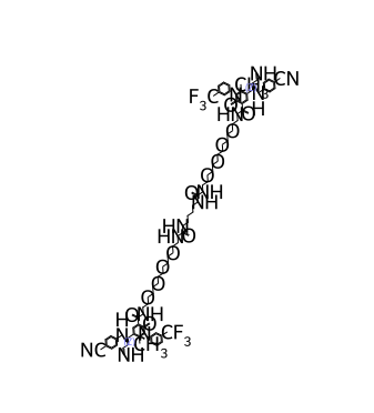 Cc1c(/C(=C/C=N)Nc2ccc(C#N)cc2)cc(C(=O)NCCOCCOCCOCCOCCNC(=O)NCCCCNC(=O)NCCOCCOCCOCCOCCNC(=O)c2cc(/C(=C/C=N)Nc3ccc(C#N)cc3)c(C)n(-c3cccc(C(F)(F)F)c3)c2=O)c(=O)n1-c1cccc(C(F)(F)F)c1